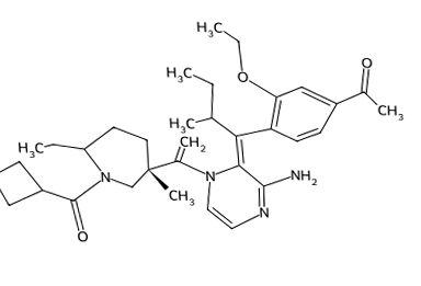 C=C(N1C=CN=C(N)/C1=C(\c1ccc(C(C)=O)cc1OCC)C(C)CC)[C@@]1(C)CCC(CC)N(C(=O)C2CCC2)C1